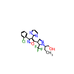 CCC(CO)N1N=CC(c2onc(-c3ccccc3Cl)c2-c2ncccn2)C1C(F)(F)F